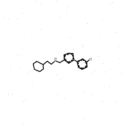 Clc1cccc(-c2cccc(CNCCC3CCCCC3)c2)c1